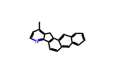 Cc1ccnc2c1Cc1c-2ccc2cc3ccccc3cc12